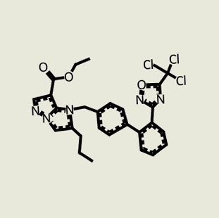 CCCc1cn2ncc(C(=O)OCC)c2n1Cc1ccc(-c2ccccc2-c2noc(C(Cl)(Cl)Cl)n2)cc1